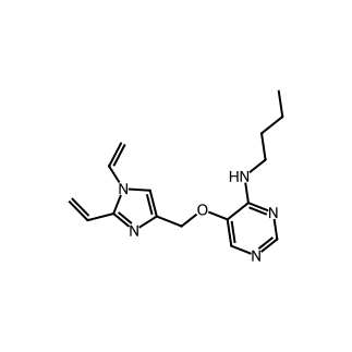 C=Cc1nc(COc2cncnc2NCCCC)cn1C=C